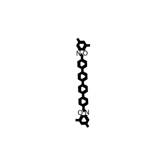 Cc1cc(C)c2oc(-c3ccc(-c4ccc(-c5ccc(-c6ccc(-c7nc8cc(C)cc(C)c8o7)cc6)cc5)cc4)cc3)nc2c1